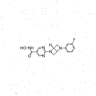 O=C(NO)c1cnc(N2CC3[C@H]2CN3c2cccc(F)c2)nc1